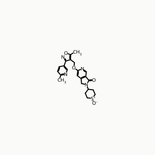 Cc1ccc(-c2noc(C)c2COc2cc3c(cn2)C(=O)N(C2CC[S+]([O-])CC2)C3)cn1